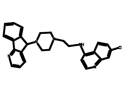 Clc1ccc2c(NCCN3CCN(C4c5ccccc5-c5ncccc54)CC3)ccnc2c1